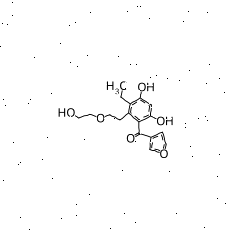 CCc1c(O)cc(O)c(C(=O)c2ccoc2)c1CCOCCO